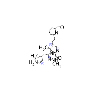 C=C(/C=C\N)C/C(=N/NC)SC(=C)C(/C=N\NC=O)=C/Cc1cccc(C=O)n1